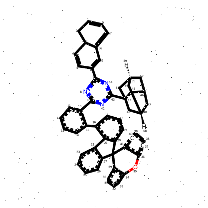 C1=CCC2C=CC(c3nc(-c4ccccc4-c4cccc5c4-c4ccccc4C54c5ccccc5Oc5ccccc54)nc(C45CC6C[C@H](C4)C[C@H](C6)C5)n3)=CC2=C1